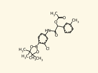 CC(=O)OC(C(=O)Nc1ccc(B2OC(C)(C)C(C)(C)O2)c(Cl)c1)c1cccc(C)c1